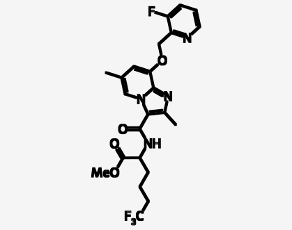 COC(=O)C(CCCC(F)(F)F)NC(=O)c1c(C)nc2c(OCc3ncccc3F)cc(C)cn12